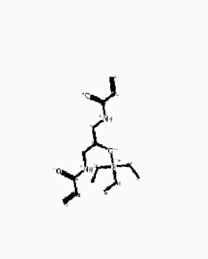 C=CC(=O)NCC(CNC(=O)C=C)O[Si](CC)(CC)CC